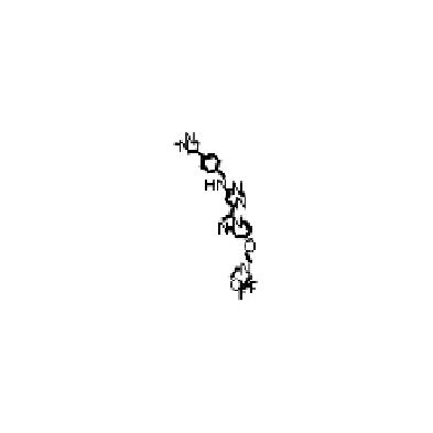 Cn1cc(-c2ccc(CNc3cc(-c4cnc5cc(OCCN6CCOC(F)(F)C6)ccn45)ncn3)cc2)cn1